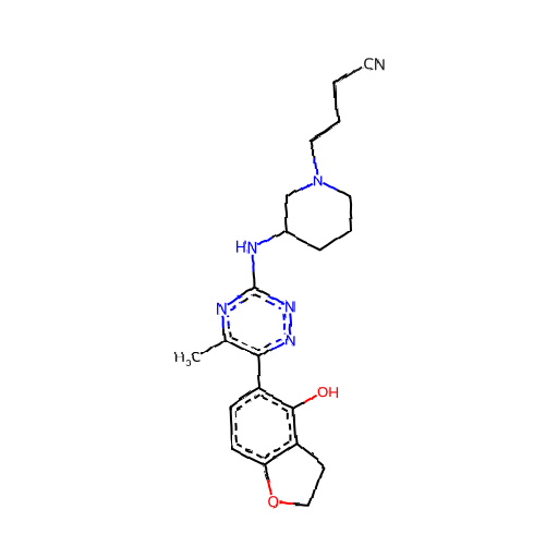 Cc1nc(NC2CCCN(CCCC#N)C2)nnc1-c1ccc2c(c1O)CCO2